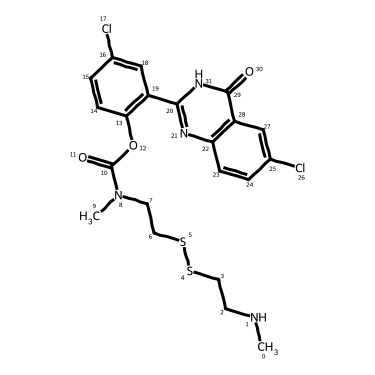 CNCCSSCCN(C)C(=O)Oc1ccc(Cl)cc1-c1nc2ccc(Cl)cc2c(=O)[nH]1